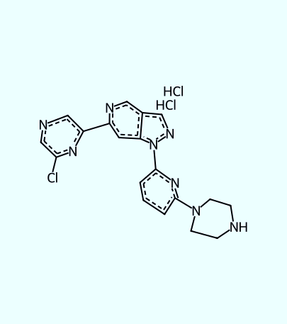 Cl.Cl.Clc1cncc(-c2cc3c(cn2)cnn3-c2cccc(N3CCNCC3)n2)n1